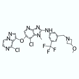 COC1CN(Cc2cc(Nc3nc4ncc(Oc5cnn6ccnc(Cl)c56)c(Cl)c4n3C)cc(C(F)(F)F)c2)C1